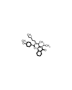 CCCCCN(C(=O)c1ccc(OC)cc1)C(C)c1nc2ccccc2c(=O)n1CC